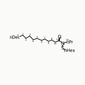 CCCCCCCCCCCCCCCCCCCCC(=O)N(CCC)SCCCCCC